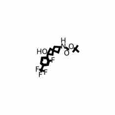 CC(C)(C)OC(=O)NC1CC2(C1)CC(O)(c1ccc(C(F)(F)F)cc1F)C2